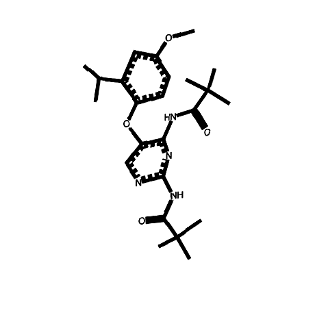 COc1ccc(Oc2cnc(NC(=O)C(C)(C)C)nc2NC(=O)C(C)(C)C)c(C(C)C)c1